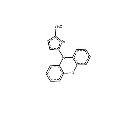 O=Cc1ccc(N2c3ccccc3Oc3ccccc32)[se]1